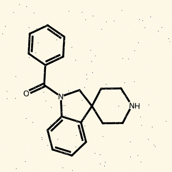 O=C(c1ccccc1)N1CC2(CCNCC2)c2ccccc21